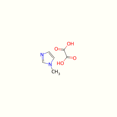 Cn1ccnc1.O=C(O)C(=O)O